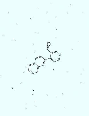 O=Cc1ccccc1-c1ccc2ccccc2c1